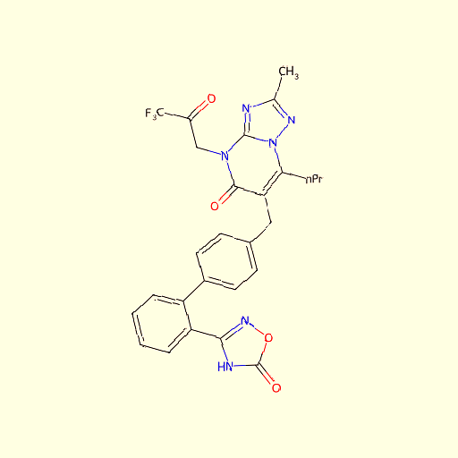 CCCc1c(Cc2ccc(-c3ccccc3-c3noc(=O)[nH]3)cc2)c(=O)n(CC(=O)C(F)(F)F)c2nc(C)nn12